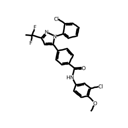 COc1ccc(NC(=O)c2ccc(-c3cc(C(C)(F)F)nn3-c3ccccc3Cl)cc2)cc1Cl